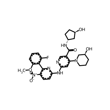 COc1cccc(F)c1-c1nc(Nc2cc(N3CCC[C@H](O)C3)c(C(=O)N[C@@H]3CC[C@@H](O)C3)cn2)ccc1[N+](=O)[O-]